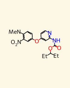 CCC(CC)OC(=O)Nc1cc(Oc2ccc(NC)c([N+](=O)[O-])c2)ccn1